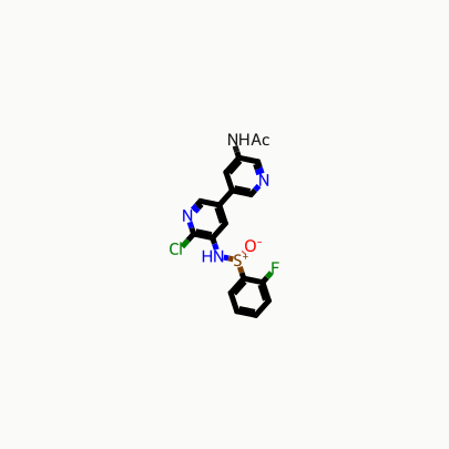 CC(=O)Nc1cncc(-c2cnc(Cl)c(N[S+]([O-])c3ccccc3F)c2)c1